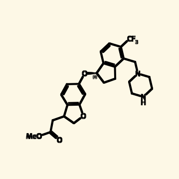 COC(=O)CC1COc2cc(O[C@@H]3CCc4c3ccc(C(F)(F)F)c4CN3CCNCC3)ccc21